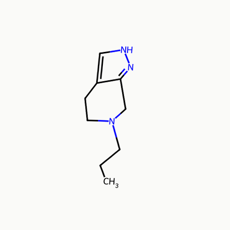 CCCN1CCc2c[nH]nc2C1